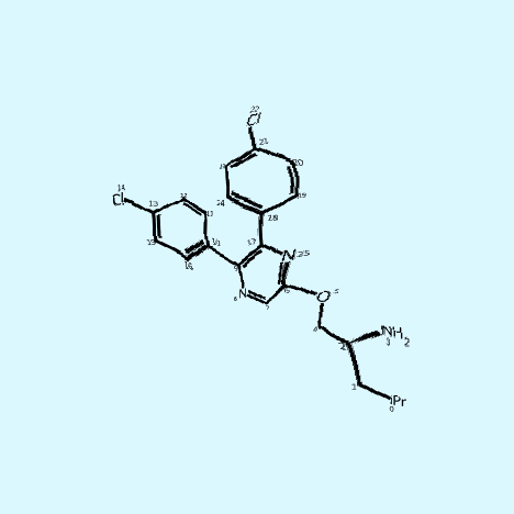 CC(C)C[C@H](N)COc1cnc(-c2ccc(Cl)cc2)c(-c2ccc(Cl)cc2)n1